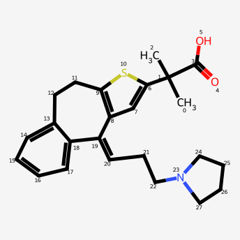 CC(C)(C(=O)O)c1cc2c(s1)CCc1ccccc1/C2=C/CCN1CCCC1